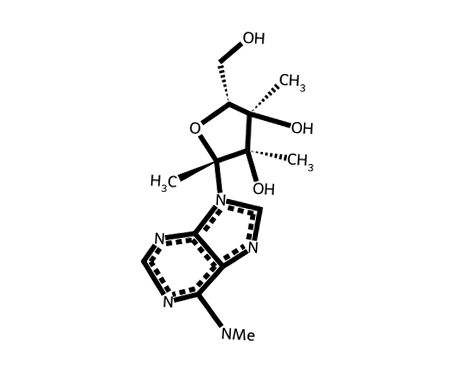 CNc1ncnc2c1ncn2[C@]1(C)O[C@H](CO)[C@@](C)(O)[C@@]1(C)O